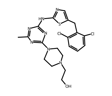 Cc1nc(Nc2ncc(Cc3c(Cl)cccc3Cl)s2)nc(N2CCN(CCO)CC2)n1